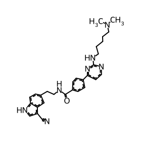 CN(C)CCCCCNc1nccc(-c2ccc(C(=O)NCCc3ccc4[nH]cc(C#N)c4c3)cc2)n1